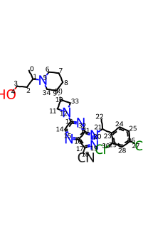 CC(CCO)N1CCC[C@H](C2CN(c3cnc4c(C#N)nn(C(C)c5ccc(Cl)cc5Cl)c4n3)C2)C1